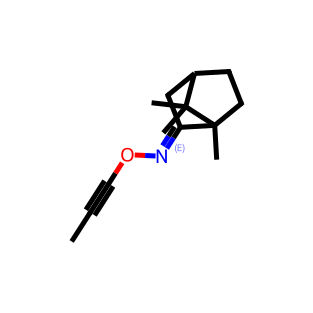 CC#CO/N=C1\CC2CCC1(C)C2(C)C